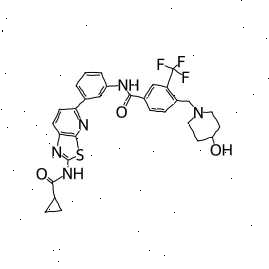 O=C(Nc1cccc(-c2ccc3nc(NC(=O)C4CC4)sc3n2)c1)c1ccc(CN2CCC(O)CC2)c(C(F)(F)F)c1